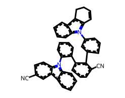 N#Cc1ccc2c(c1)c1ccccc1n2-c1ccccc1-c1cccc(C#N)c1-c1cccc(-n2c3c(c4ccccc42)CCC=C3)c1